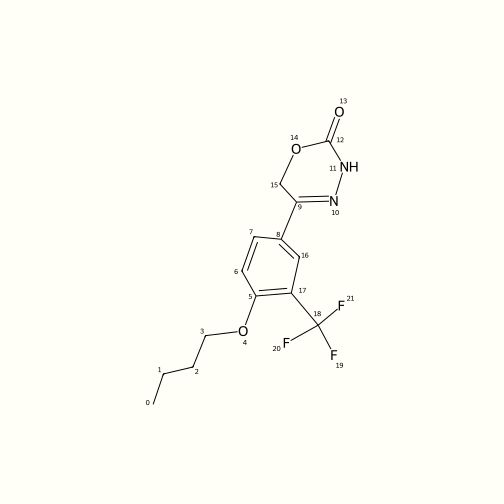 CCCCOc1ccc(C2=NNC(=O)OC2)cc1C(F)(F)F